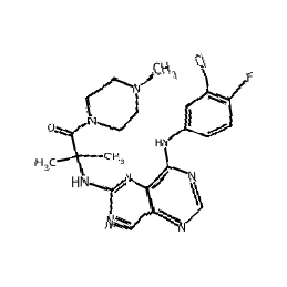 CN1CCN(C(=O)C(C)(C)Nc2ncc3ncnc(Nc4ccc(F)c(Cl)c4)c3n2)CC1